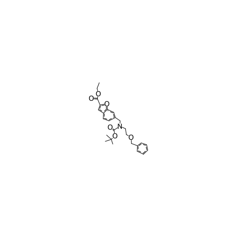 CCOC(=O)c1cc2ccc(CN(CCOCc3ccccc3)C(=O)OC(C)(C)C)cc2o1